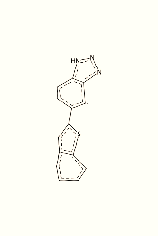 [c]1c(-c2cc3ccccc3s2)ccc2[nH]nnc12